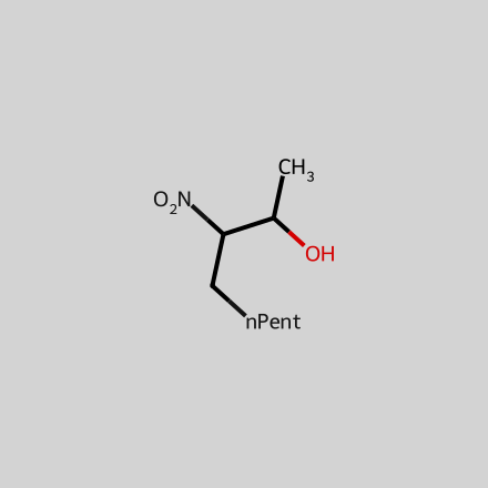 CCCCCCC(C(C)O)[N+](=O)[O-]